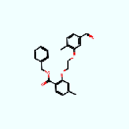 Cc1ccc(C(=O)OCc2ccccc2)c(OCCOc2cc(C=O)ccc2C)c1